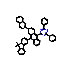 CC1(C)c2ccccc2-c2cc(-c3c4ccccc4c(-c4nc(-c5ccccc5)nc(-c5ccccc5)n4)c4ccc(-c5ccc6ccccc6c5)cc34)ccc21